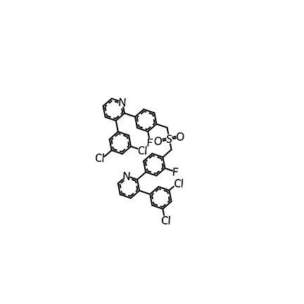 O=S(=O)(Cc1ccc(-c2ncccc2-c2cc(Cl)cc(Cl)c2)cc1F)Cc1ccc(-c2ncccc2-c2cc(Cl)cc(Cl)c2)cc1F